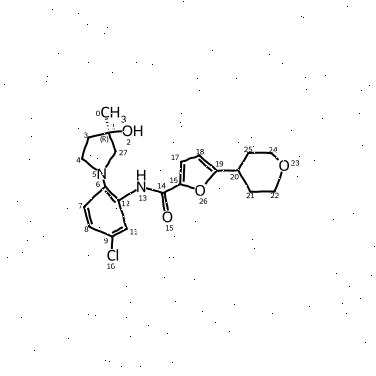 C[C@@]1(O)CCN(c2ccc(Cl)cc2NC(=O)c2ccc(C3CCOCC3)o2)C1